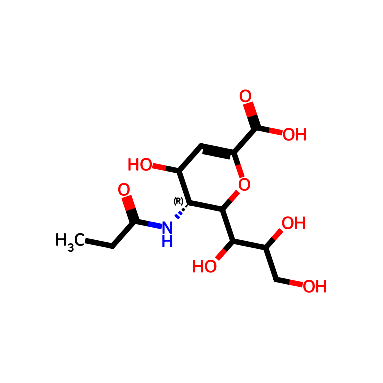 CCC(=O)N[C@@H]1C(O)C=C(C(=O)O)OC1C(O)C(O)CO